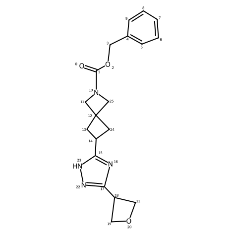 O=C(OCc1ccccc1)N1CC2(CC(c3nc(C4COC4)n[nH]3)C2)C1